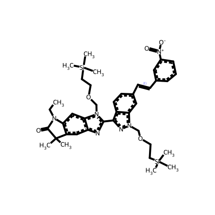 CCN1C(=O)C(C)(C)c2cc3nc(-c4nn(COCC[Si](C)(C)C)c5cc(/C=C/c6cccc([N+](=O)[O-])c6)ccc45)n(COCC[Si](C)(C)C)c3cc21